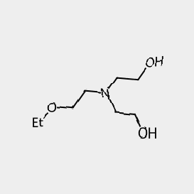 CCOCCN(CCO)CCO